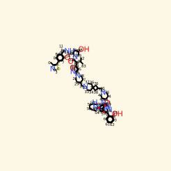 Cc1ncsc1-c1ccc([C@H](C)NC(=O)[C@@H]2C[C@@H](O)CN2C(=O)[C@@H](c2cc(N3CCC(CN4CCC5(CC4)CC(CN4CCC(Oc6cc(N7C8CCC7CN(c7cc(-c9ccccc9O)nnc7N)C8)ccn6)CC4)C5)CC3)no2)C(C)C)cc1